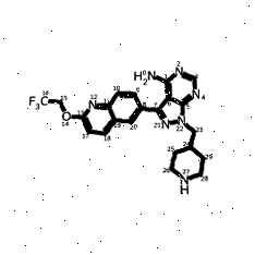 Nc1ncnc2c1c(-c1ccc3nc(OCC(F)(F)F)ccc3c1)nn2CC1CCNCC1